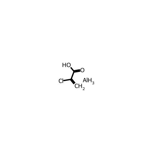 C=C(Cl)C(=O)O.[AlH3]